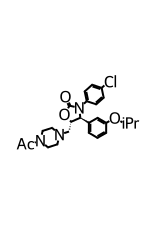 CC(=O)N1CCN(C[C@@H]2OC(=O)N(c3ccc(Cl)cc3)[C@H]2c2cccc(OC(C)C)c2)CC1